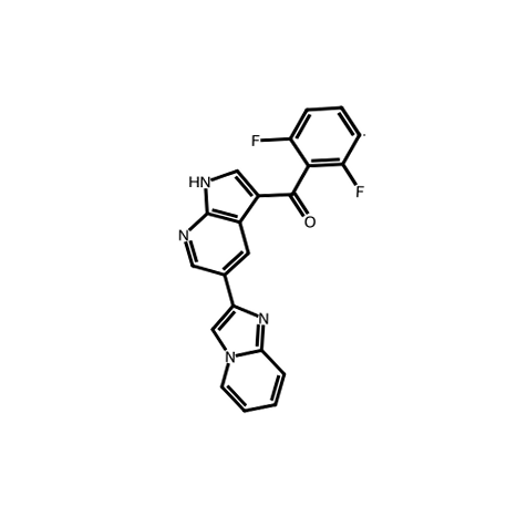 O=C(c1c(F)[c]ccc1F)c1c[nH]c2ncc(-c3cn4ccccc4n3)cc12